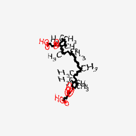 CC(C=CC=C(C)C=CC1=C(C)C(=O)C(OC(=O)CCC(=O)O)CC1(C)C)=CC=CC=C(C)C=CC=C(C)C=CC1C(C)=CC(C)(C)CC1OC(=O)CCC(=O)O